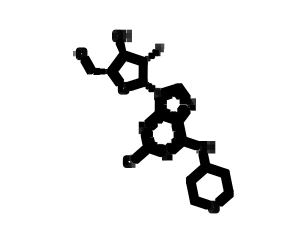 [O]C[C@H]1O[C@@H](n2cnc3c(NC4CCOCC4)nc(Cl)nc32)[C@@H](F)[C@@H]1O